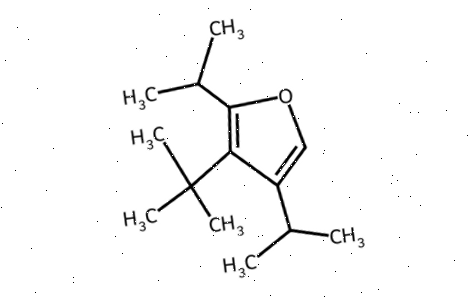 CC(C)c1coc(C(C)C)c1C(C)(C)C